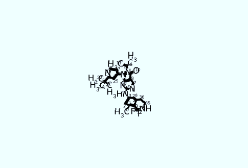 Cc1cc(Nc2ncc3c(=O)n(C(C)C)n(-c4ccnc(C(C)(C)C)c4)c3n2)cc2c1C(F)(F)NCC2